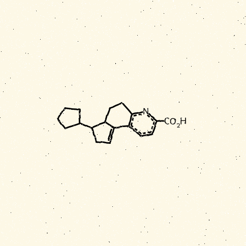 O=C(O)c1ccc2c(n1)CCC1C2=CCC1C1CCCC1